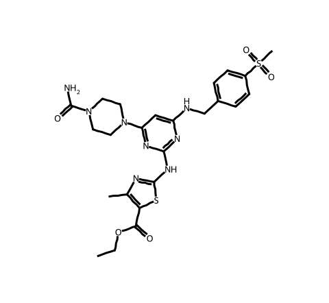 CCOC(=O)c1sc(Nc2nc(NCc3ccc(S(C)(=O)=O)cc3)cc(N3CCN(C(N)=O)CC3)n2)nc1C